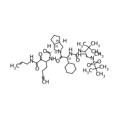 C#CCCC(NC(=O)[C@@H]1[C@H]2CCC[C@H]2CN1C(=O)[C@@H](NC(=O)N[C@H](CN(C)S(=O)(=O)C(C)(C)C)C(C)(C)C)C1CCCCC1)C(=O)C(=O)NCC=C